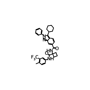 Cc1ccc(NC(=O)C2(NC(=O)c3ccc4c(C5CCCCC5)n(-c5ccccc5)nc4c3)CCC2)cc1C(F)(F)F